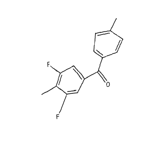 Cc1ccc(C(=O)c2cc(F)c(C)c(F)c2)cc1